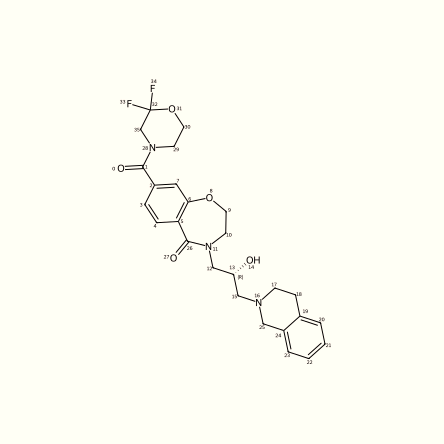 O=C(c1ccc2c(c1)OCCN(C[C@H](O)CN1CCc3ccccc3C1)C2=O)N1CCOC(F)(F)C1